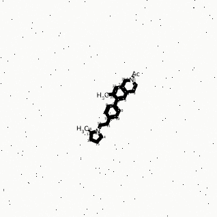 CC(=O)N1CCc2cc(-c3ccc(CCN4CCC[C@H]4C)cc3)c(C)cc2C1